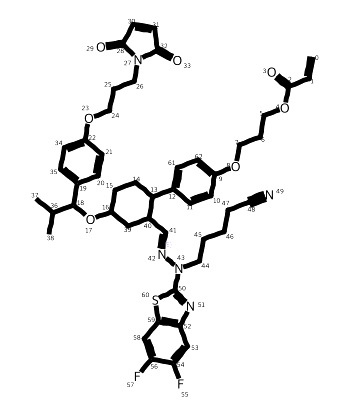 C=CC(=O)OCCCOc1ccc(C2CCC(OC(c3ccc(OCCCN4C(=O)C=CC4=O)cc3)C(C)C)CC2/C=N/N(CCCCC#N)c2nc3cc(F)c(F)cc3s2)cc1